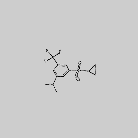 CC(C)c1cc(C(F)(F)F)cc(S(=O)(=O)C2CC2)c1